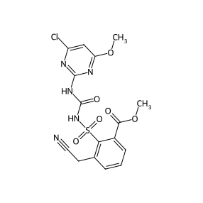 COC(=O)c1cccc(CC#N)c1S(=O)(=O)NC(=O)Nc1nc(Cl)cc(OC)n1